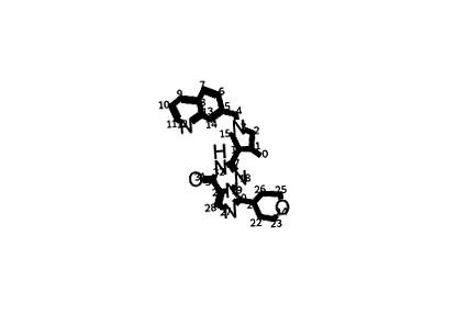 CC1CN(Cc2ccc3cccnc3c2)CC1c1nn2c(C3CCOCC3)ncc2c(=O)[nH]1